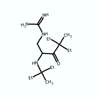 CCC(C)(CC)NC(CNC(=N)N)C(=O)C(C)(CC)CC